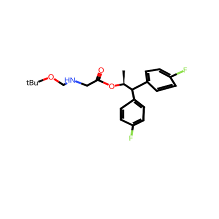 C[C@H](OC(=O)CNCOC(C)(C)C)C(c1ccc(F)cc1)c1ccc(F)cc1